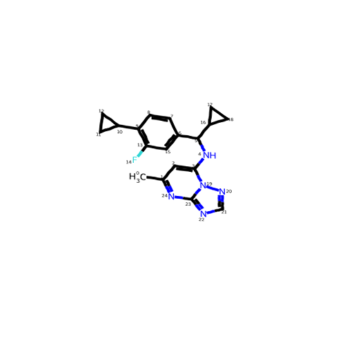 Cc1cc(NC(c2ccc(C3CC3)c(F)c2)C2CC2)n2ncnc2n1